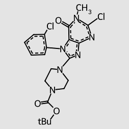 Cn1c(Cl)nc2nc(N3CCN(C(=O)OC(C)(C)C)CC3)n(-c3ccccc3Cl)c2c1=O